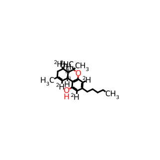 [2H]C1=C(C)CC([2H])([2H])[C@]2([2H])[C@@H]1c1c(O)c([2H])c(CCCCC)c([2H])c1OC2(C)C